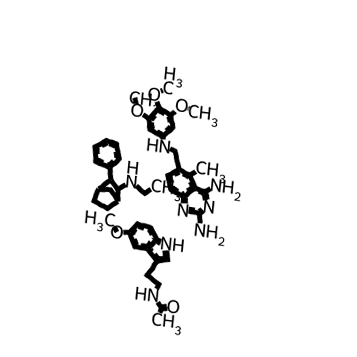 CCNC1C2CCC(C2)C1c1ccccc1.COc1cc(NCc2ccc3nc(N)nc(N)c3c2C)cc(OC)c1OC.COc1ccc2[nH]cc(CCNC(C)=O)c2c1